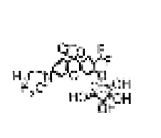 CCN(CC)c1ccc2c(c1)Oc1cc(O[C@@H]3O[C@H](CO)[C@H](O)[C@H](O)[C@H]3O)c(C(F)F)cc1C21OCc2ccccc21